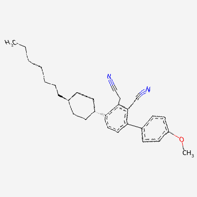 CCCCCCC[C@H]1CC[C@H](c2ccc(-c3ccc(OC)cc3)c(C#N)c2C#N)CC1